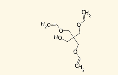 C=COCC(CO)(COC=C)COC=C